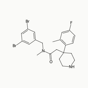 Cc1cc(F)ccc1C1(CC(=O)N(C)Cc2cc(Br)cc(Br)c2)CCNCC1